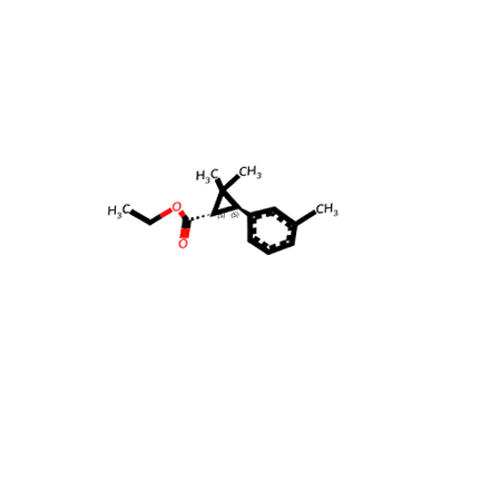 CCOC(=O)[C@H]1[C@H](c2cccc(C)c2)C1(C)C